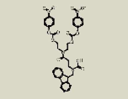 O=C(OCCN(CCOC(=O)Oc1ccc([N+](=O)[O-])cc1)C(=O)CCN(CC1c2ccccc2-c2ccccc21)C(=O)O)Oc1ccc([N+](=O)[O-])cc1